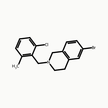 Cc1cccc(Cl)c1CN1CCc2cc(Br)ccc2C1